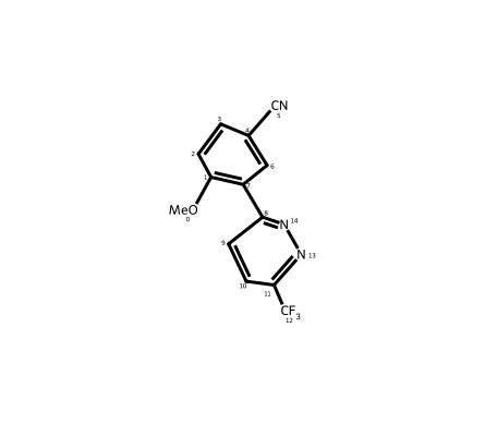 COc1ccc(C#N)cc1-c1ccc(C(F)(F)F)nn1